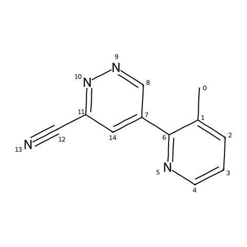 Cc1cccnc1-c1cnnc(C#N)c1